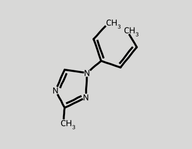 C/C=C\C(=C/C)n1cnc(C)n1